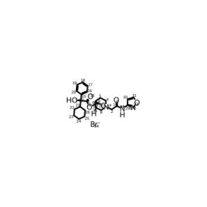 O=C(C[N+]12CCC(CC1)[C@@H](OC(=O)C(O)(c1ccccc1)C1CCCCC1)C2)Nc1ccon1.[Br-]